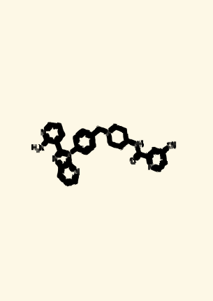 N#Cc1ccnc(C(=O)NC2CCN(Cc3ccc(-n4c(-c5cccnc5N)nc5cccnc54)cc3)CC2)c1